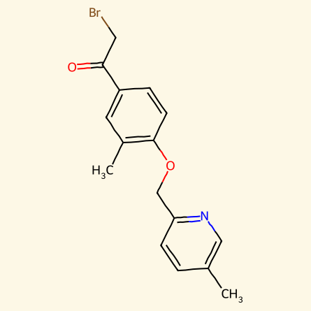 Cc1ccc(COc2ccc(C(=O)CBr)cc2C)nc1